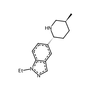 CCn1ncc2cc([C@H]3CC[C@H](C)CN3)ccc21